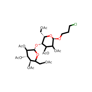 CC(=O)OCC1O[C@@H](O[C@H]2C(OC(C)=O)C(OC(C)=O)[C@H](OCCCCl)O[C@H]2COC(C)=O)C(OC(C)=O)[C@@H](OC(C)=O)[C@@H]1OC(C)=O